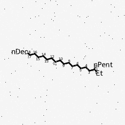 [CH2]CC(CCCCC)CCCCCCCCCCCCCCCCCCCCCCCCC